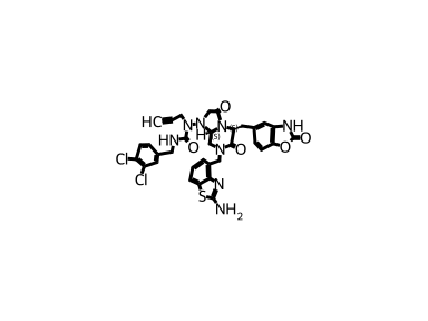 C#CCN(C(=O)NCc1ccc(Cl)c(Cl)c1)N1CC(=O)N2[C@@H](Cc3ccc4oc(=O)[nH]c4c3)C(=O)N(Cc3cccc4sc(N)nc34)C[C@@H]21